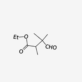 CCOC(=O)C(C)C(C)(C)C=O